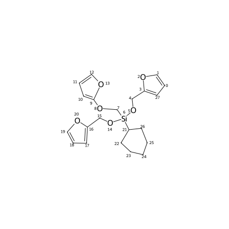 c1coc(CO[Si](COc2ccco2)(OCc2ccco2)C2CCCCC2)c1